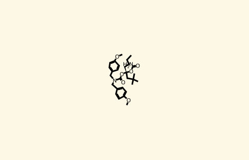 CCCC[C@](CC(C)(C)C)(OC(N)=O)OC(=O)N(Cc1ccc(OC)cc1)Cc1ccc(OC)cc1